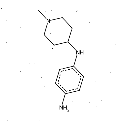 CN1CCC(Nc2ccc(N)cc2)CC1